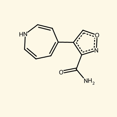 NC(=O)c1nocc1C1=CC=CNC=C1